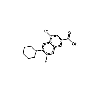 O=C(O)c1cc2cc(F)c(N3CCCCC3)cc2[n+]([O-])c1